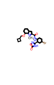 Cn1c(C(=O)Nc2ccc(Br)cc2-c2noc(=O)[nH]2)cc2cccc(OCC3CCC3)c21